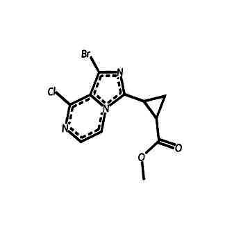 COC(=O)C1CC1c1nc(Br)c2c(Cl)nccn12